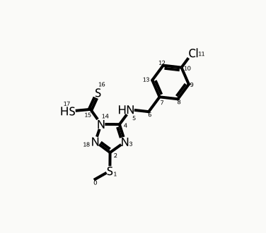 CSc1nc(NCc2ccc(Cl)cc2)n(C(=S)S)n1